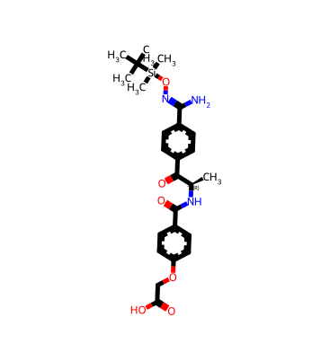 C[C@@H](NC(=O)c1ccc(OCC(=O)O)cc1)C(=O)c1ccc(C(N)=NO[Si](C)(C)C(C)(C)C)cc1